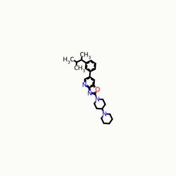 CC(C)C(C)c1cccc(-c2cnc3nc(N4CCC(N5CCCCC5)CC4)oc3c2)c1